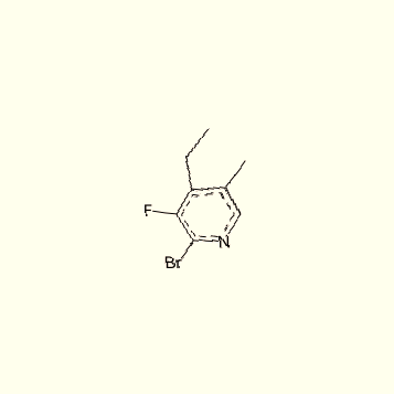 CCc1c(C)cnc(Br)c1F